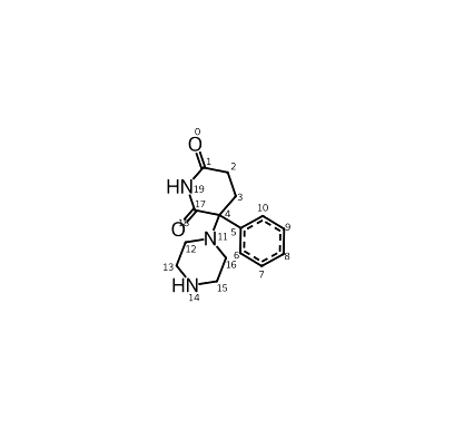 O=C1CCC(c2ccccc2)(N2CCNCC2)C(=O)N1